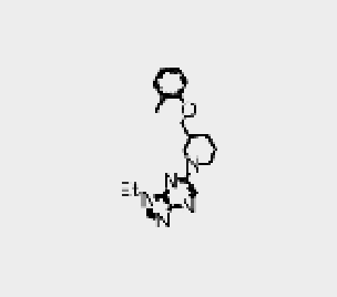 CCn1cnc2ncc(N3CCCC(COc4ccccc4C)C3)nc21